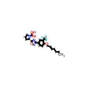 CCCC/C=C/COc1ccc(-c2noc([C@@H]3CCCN3C(=O)O)n2)cc1C(F)(F)F